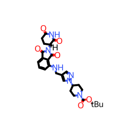 [2H]C1(N2C(=O)c3cccc(NCc4cnn(C5CCN(C(=O)OC(C)(C)C)CC5)c4)c3C2=O)CCC(=O)NC1=O